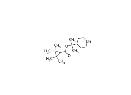 CC(C)(OC(=O)C1C(C)(C)C1(C)C)C1CCNCC1